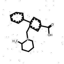 CC1CCCCN1Cc1cc(C(=O)O)ccc1-c1ccccc1